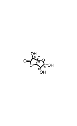 O=C1OC2[C@@H](O[C@H](O)[C@H]2O)[C@@H]1O